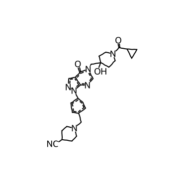 N#CC1CCN(Cc2ccc(-n3ncc4c(=O)n(CC5(O)CCN(C(=O)C6CC6)CC5)cnc43)cc2)CC1